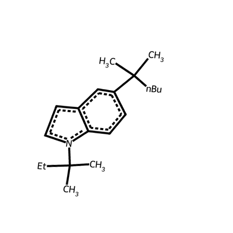 CCCCC(C)(C)c1ccc2c(ccn2C(C)(C)CC)c1